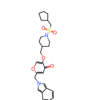 O=c1cc(Cn2cc3ccccc3c2)occ1OCC1CCN(S(=O)(=O)CC2CCCC2)CC1